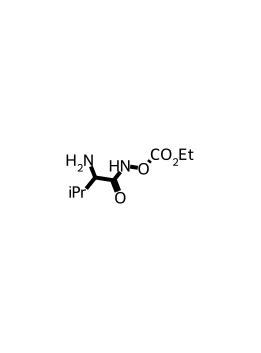 CCOC(=O)ONC(=O)C(N)C(C)C